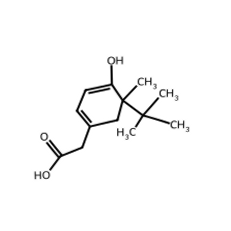 CC(C)(C)C1(C)CC(CC(=O)O)=CC=C1O